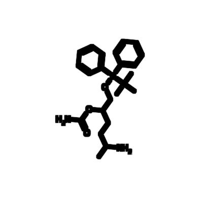 CC(N)CCC(CO[Si](c1ccccc1)(c1ccccc1)C(C)(C)C)OC(N)=O